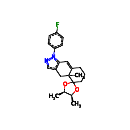 C[C@@H]1OC2(CCCC3=Cc4c(cnn4-c4ccc(F)cc4)CC32C)O[C@@H]1C